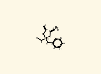 C=CC[N+](CC)(CC=C)Cc1ccccc1.[Br-]